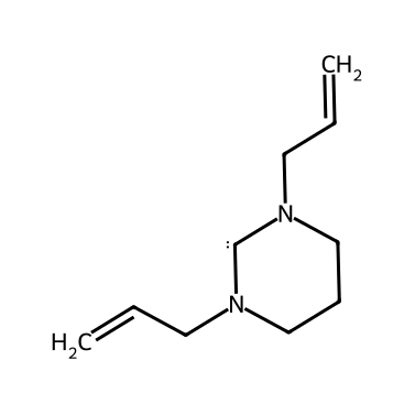 C=CCN1[C]N(CC=C)CCC1